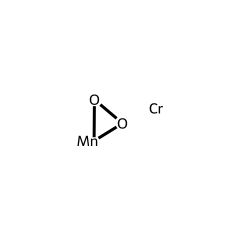 [Cr].[O]1[O][Mn]1